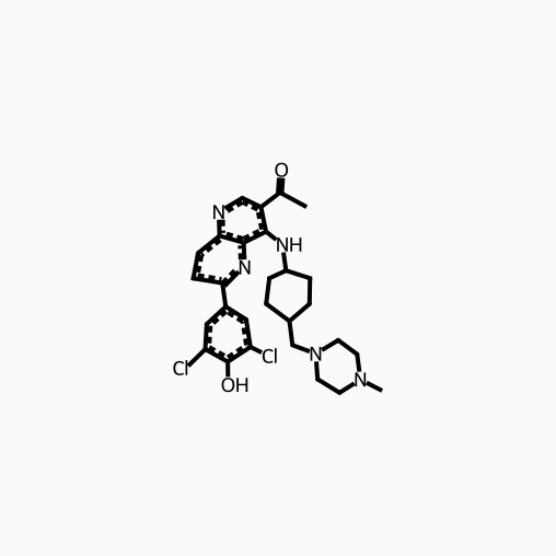 CC(=O)c1cnc2ccc(-c3cc(Cl)c(O)c(Cl)c3)nc2c1NC1CCC(CN2CCN(C)CC2)CC1